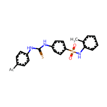 CC(=O)c1ccc(NC(=S)Nc2ccc(S(=O)(=O)Nc3ccccc3C)cc2)cc1